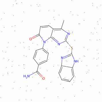 Cc1nc(Sc2nc3ccccc3[nH]2)nc2c1ccc(=O)n2-c1ccc(C(N)=O)cc1